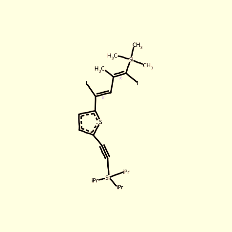 CC(/C=C(\I)c1ccc(C#C[Si](C(C)C)(C(C)C)C(C)C)s1)=C(/I)[Si](C)(C)C